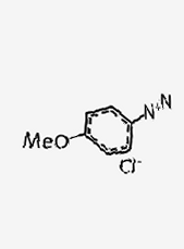 COc1ccc([N+]#N)cc1.[Cl-]